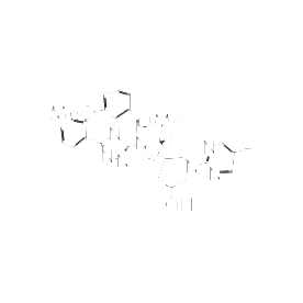 COc1cccc(OC)c1-n1c(NS(=O)(=O)[C@H]2C[C@@H](O)CN(c3ncc(F)cn3)C2)nnc1-c1ccccc1